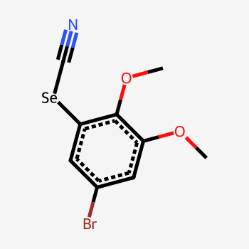 COc1cc(Br)cc([Se]C#N)c1OC